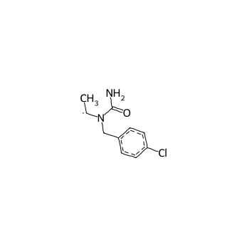 C[CH]N(Cc1ccc(Cl)cc1)C(N)=O